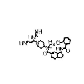 CN(C(=O)c1ccc2c(c1)[C@H](NC(=O)c1ccccc1Cl)CC2)C1CCN(/C(=C/C=N)NN=N)CC1